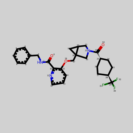 O=C(NCc1ccccc1)c1ncccc1OCC12CC1CN(C(=O)[C@H]1CC[C@H](C(F)(F)F)CC1)C2